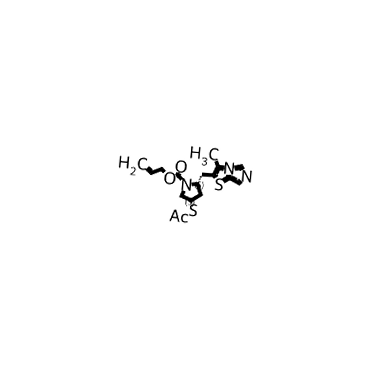 C=CCOC(=O)N1C[C@@H](SC(C)=O)C[C@H]1Cc1sc2cncn2c1C